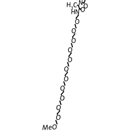 COCCOCCOCCOCCOCCOCCOCCOCCOCCOCCOCCOCCNC(=O)C(C)N1C(=O)C=CC1=O